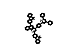 CC1(C)c2ccccc2-c2ccc(-c3cc(-c4ccc(-c5cc(-c6ccccc6)cc(-c6ccccc6)n5)cc4)c4cc(-c5ccc6c(c5)C(C)(C)c5ccccc5-6)c5ccccc5c4n3)cc21